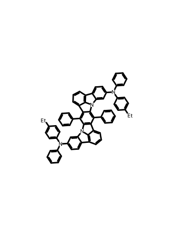 CCc1ccc(N(c2ccccc2)c2ccc3c4cccc5c6c(-c7ccccc7)c7c(c(-c8ccccc8)c6n(c3c2)c45)c2cccc3c4ccc(N(c5ccccc5)c5ccc(CC)cc5)cc4n7c32)cc1